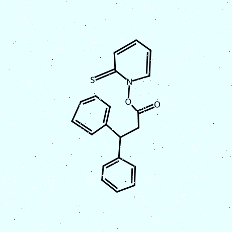 O=C(CC(c1ccccc1)c1ccccc1)On1ccccc1=S